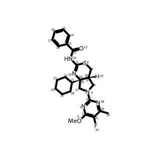 COc1nc(N2C[C@H]3CSC(NC(=O)c4ccccc4)=N[C@@]3(C3CCCCC3)C2)nc(C)c1F